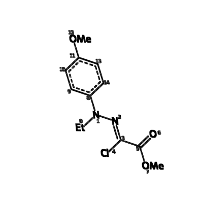 CCN(/N=C(\Cl)C(=O)OC)c1ccc(OC)cc1